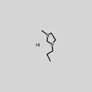 CCCN1CCN(C)C1.I